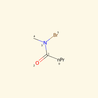 CCCC(=O)N(C)Br